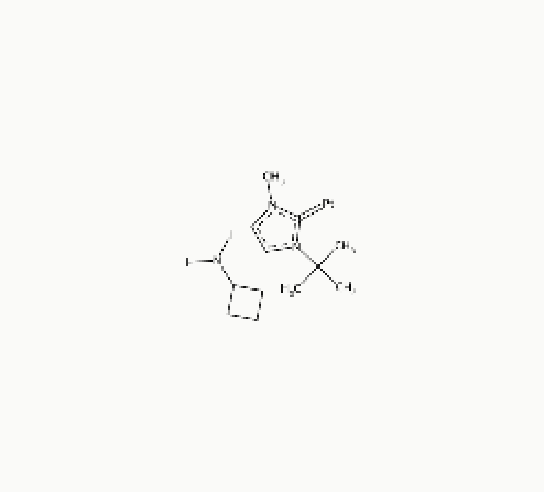 Cn1ccn(C(C)(C)C)[c]1=[Pt].IN(I)C1CCC1